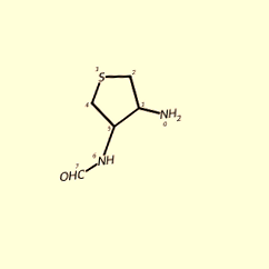 NC1CSCC1NC=O